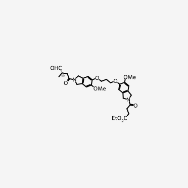 CCOC(=O)CCC(=O)N1Cc2cc(OC)c(OCCCOc3cc4c(cc3OC)CN(C(=O)C[C@H](C)C=O)C4)cc2C1